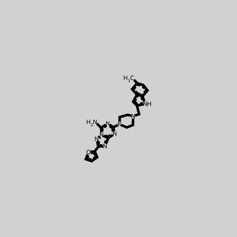 Cc1ccc2[nH]c(CN3CCN(c4nc(N)n5nc(-c6ccco6)nc5n4)CC3)cc2c1